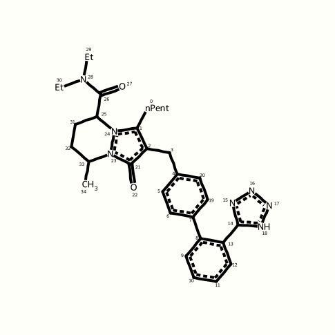 CCCCCc1c(Cc2ccc(-c3ccccc3-c3nnn[nH]3)cc2)c(=O)n2n1C(C(=O)N(CC)CC)CCC2C